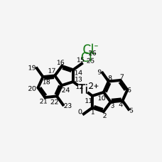 CC1=Cc2c(C)ccc(C)c2[CH]1[Ti+2][CH]1C(C)=Cc2c(C)ccc(C)c21.[Cl-].[Cl-]